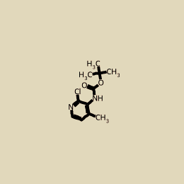 Cc1ccnc(Cl)c1NC(=O)OC(C)(C)C